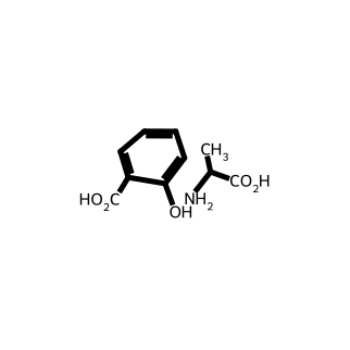 CC(N)C(=O)O.O=C(O)c1ccccc1O